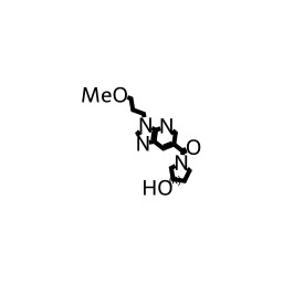 COCCCn1cnc2cc(C(=O)N3CC[C@@H](O)C3)cnc21